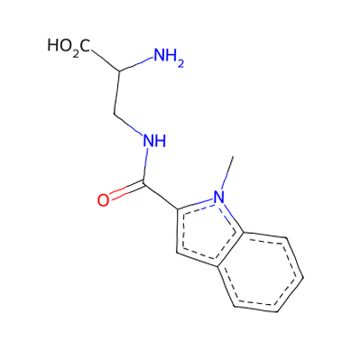 Cn1c(C(=O)NCC(N)C(=O)O)cc2ccccc21